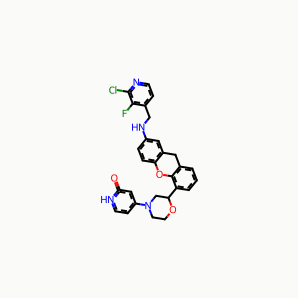 O=c1cc(N2CCOC(c3cccc4c3Oc3ccc(NCc5ccnc(Cl)c5F)cc3C4)C2)cc[nH]1